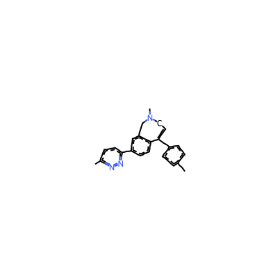 Cc1ccc(C2=CCN(C)Cc3cc(-c4ccc(C)nn4)ccc32)cc1